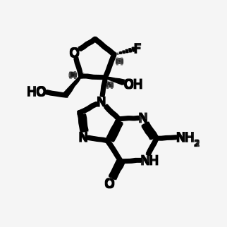 Nc1nc2c(ncn2[C@@]2(O)[C@@H](F)CO[C@@H]2CO)c(=O)[nH]1